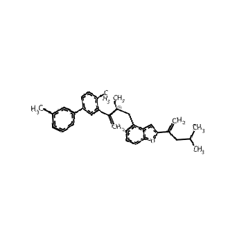 C=C(CC(C)C)c1cc2c(C[C@H](C)C(=C)c3cc(-c4cccc(C)c4)ccc3C)cccc2o1